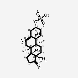 C[C@]12CC[C@@H](OS(=O)(=O)[O-])CC1=CC[C@@H]1[C@@H]2CC[C@]2(C)C(=O)CC[C@@H]12.[Na+]